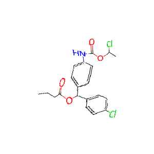 CCCC(=O)OC(c1ccc(Cl)cc1)c1ccc(NC(=O)OC(C)Cl)cc1